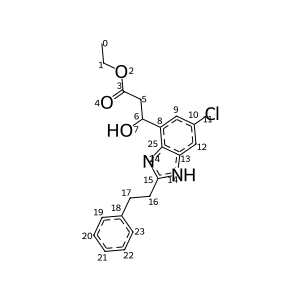 CCOC(=O)CC(O)c1cc(Cl)cc2[nH]c(CCc3ccccc3)nc12